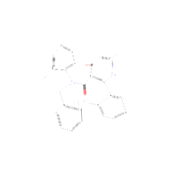 Cc1cc(=O)c(C(=O)N(Cc2ccccc2)c2ccccc2Cl)c(-c2ccccc2C)[nH]1